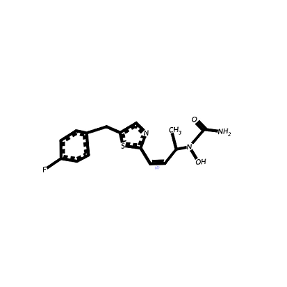 CC(/C=C\c1ncc(Cc2ccc(F)cc2)s1)N(O)C(N)=O